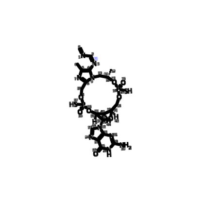 C=N/C=N\c1c(C)nc2n1C[C@H](C)OP(=O)(S)OC[C@H]1O[C@@H](n3cnc4c(=O)[nH]c(N)nc43)[C@H](OP(=O)(S)OC2)[C@@H]1F